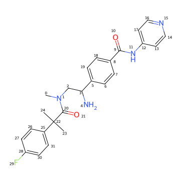 CN(CC(N)c1ccc(C(=O)Nc2ccncc2)cc1)C(=O)C(C)(C)c1ccc(F)cc1